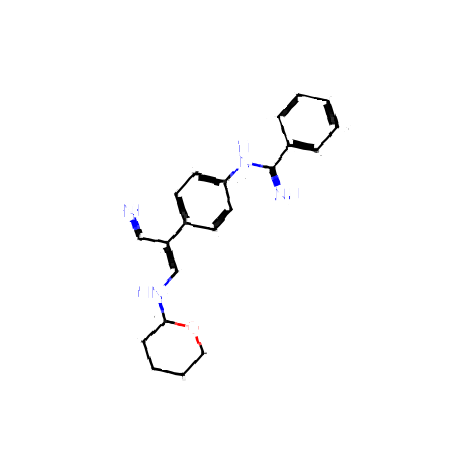 N=C/C(=C\NC1CCCCO1)c1ccc(NC(=N)c2ccccc2)cc1